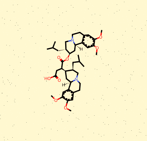 COc1cc2c(cc1OC)[C@H]1C[C@@H](OC(=O)C(CC(=O)O)[C@@H]3C[C@@H]4c5cc(OC)c(OC)cc5CCN4C[C@@H]3CC(C)C)[C@H](CC(C)C)CN1CC2